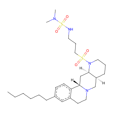 CCCCCCc1ccc2c(c1)CCN1C[C@@H]3CCCN(S(=O)(=O)CCCNS(=O)(=O)N(C)C)[C@@H]3C[C@@H]21